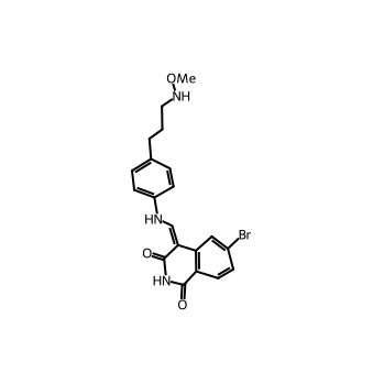 CONCCCc1ccc(NC=C2C(=O)NC(=O)c3ccc(Br)cc32)cc1